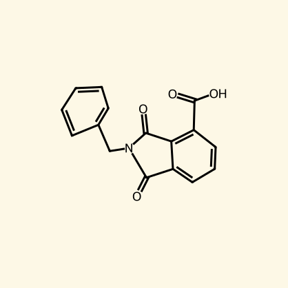 O=C(O)c1cccc2c1C(=O)N(Cc1ccccc1)C2=O